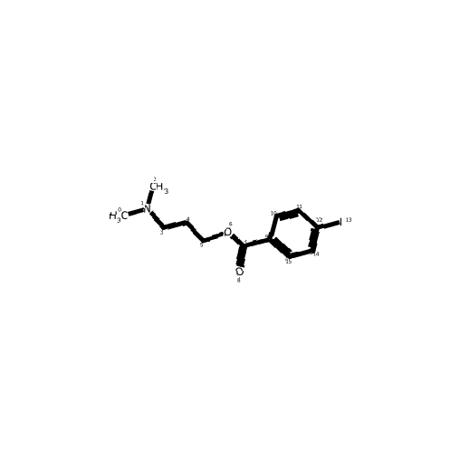 CN(C)CCCOC(=O)c1ccc(I)cc1